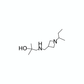 CCC(C)N1CC(CNCC(C)(C)O)C1